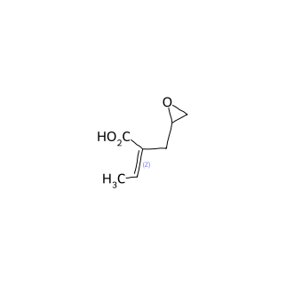 C/C=C(/CC1CO1)C(=O)O